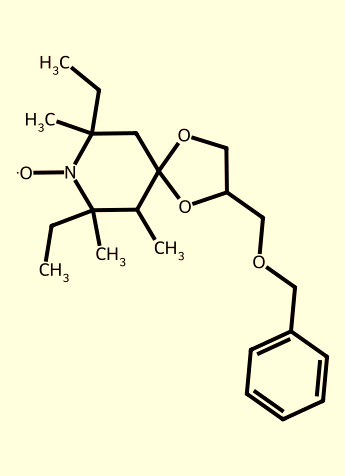 CCC1(C)CC2(OCC(COCc3ccccc3)O2)C(C)C(C)(CC)N1[O]